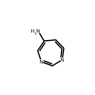 NC1=CN=CN=C=C1